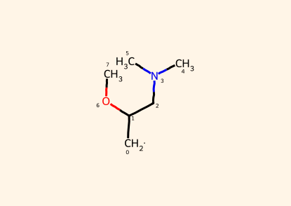 [CH2]C(CN(C)C)OC